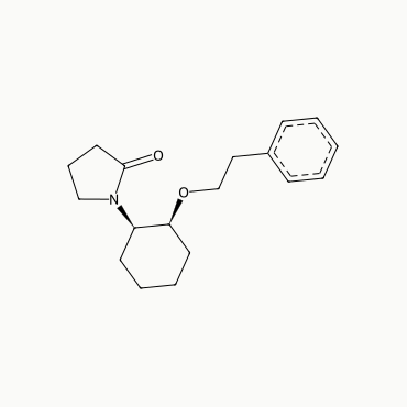 O=C1CCCN1[C@@H]1CCCC[C@@H]1OCCc1ccccc1